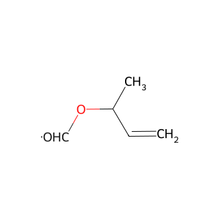 C=CC(C)O[C]=O